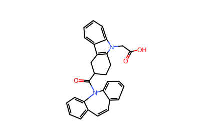 O=C(O)Cn1c2c(c3ccccc31)CC(C(=O)N1c3ccccc3C=Cc3ccccc31)CC2